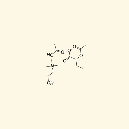 CC(=O)O.CCC(OC(C)=O)C(=O)[O-].C[N+](C)(C)CCO